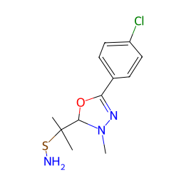 CN1N=C(c2ccc(Cl)cc2)OC1C(C)(C)SN